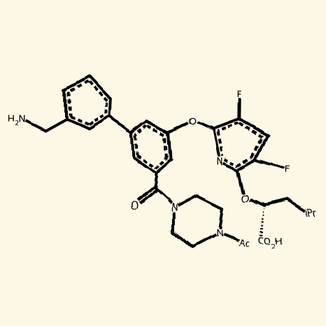 CC(=O)N1CCN(C(=O)c2cc(Oc3nc(O[C@H](CC(C)C)C(=O)O)c(F)cc3F)cc(-c3cccc(CN)c3)c2)CC1